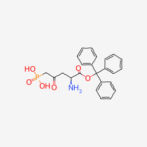 N[C@@H](CC(=O)CP(=O)(O)O)C(=O)OC(c1ccccc1)(c1ccccc1)c1ccccc1